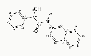 CN(C(=O)C(O)c1ccccc1)c1ccc2cccnc2c1